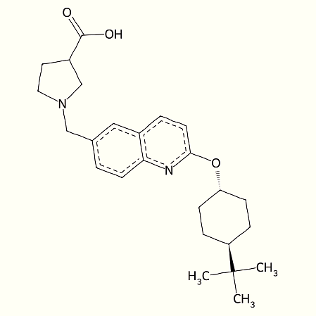 CC(C)(C)[C@H]1CC[C@H](Oc2ccc3cc(CN4CCC(C(=O)O)C4)ccc3n2)CC1